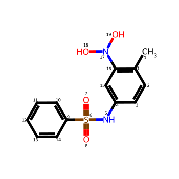 Cc1ccc(NS(=O)(=O)c2ccccc2)cc1N(O)O